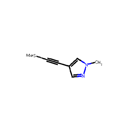 CSC#Cc1cnn(C)c1